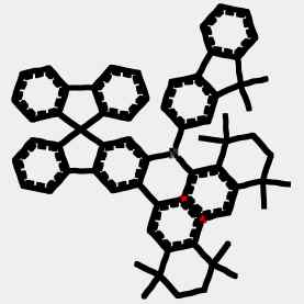 CC1(C)CCC(C)(C)c2cc(-c3cc4c(cc3N(c3ccc5c(c3)C(C)(C)c3ccccc3-5)c3cccc5c3C(C)(C)CCC5(C)C)C3(c5ccccc5-c5ccccc53)c3ccccc3-4)ccc21